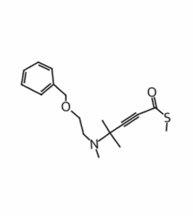 CSC(=O)C#CC(C)(C)N(C)CCOCc1ccccc1